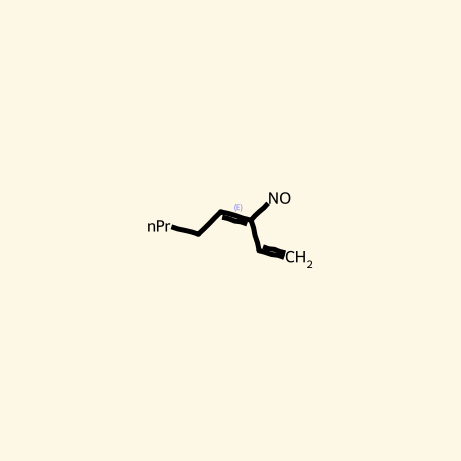 C=C/C(=C\CCCC)N=O